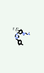 Cc1ccc(CN2CCN(Cc3cc(N(C)CCN(C)C)ccc3C(F)(F)F)CC2)cc1